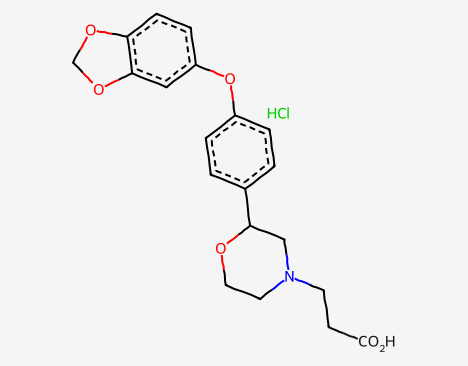 Cl.O=C(O)CCN1CCOC(c2ccc(Oc3ccc4c(c3)OCO4)cc2)C1